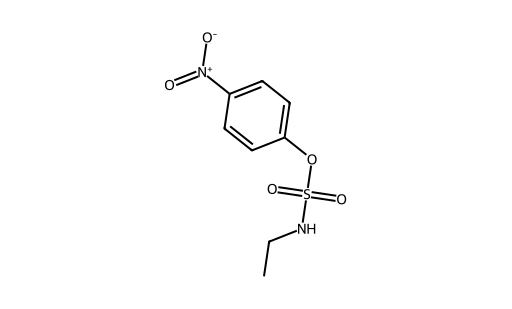 CCNS(=O)(=O)Oc1ccc([N+](=O)[O-])cc1